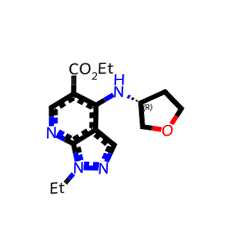 CCOC(=O)c1cnc2c(cnn2CC)c1N[C@@H]1CCOC1